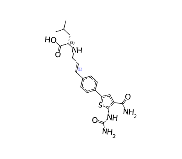 CC(C)C[C@H](NC/C=C/c1ccc(-c2cc(C(N)=O)c(NC(N)=O)s2)cc1)C(=O)O